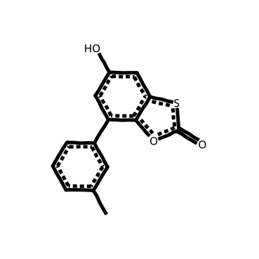 Cc1cccc(-c2cc(O)cc3sc(=O)oc23)c1